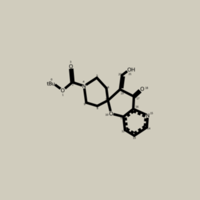 CC(C)(C)OC(=O)N1CCC2(CC1)Oc1cccnc1C(=O)C2=CO